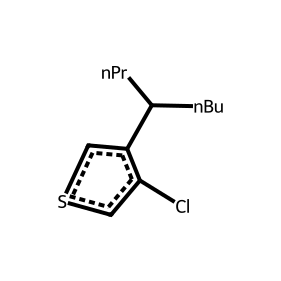 CCCCC(CCC)c1cscc1Cl